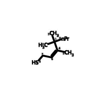 CCCC(C)(C)/C(C)=C\CS